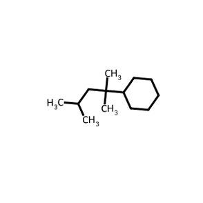 CC(C)CC(C)(C)C1CCCCC1